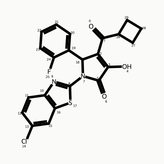 O=C(C1=C(O)C(=O)N(c2nc3ccc(Cl)cc3s2)C1c1ccccc1F)C1CCC1